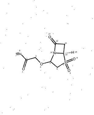 CC(C)(C)C(=O)COC1CS(=O)(=O)[C@@H]2CC(=O)N12